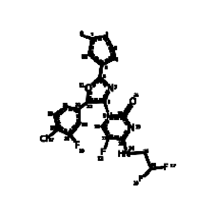 Cc1cccc(-c2nc(-n3cc(F)c(NCC(F)F)nc3=O)c(-c3ccc(Cl)c(F)c3)o2)c1